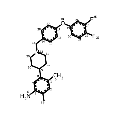 Cc1cc(F)c(N)cc1C1CCN(Cc2ccc(Oc3ccc(F)c(F)c3)cc2)CC1